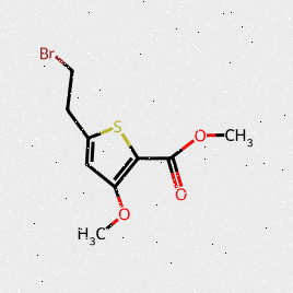 COC(=O)c1sc(CCBr)cc1OC